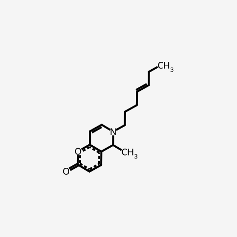 CCC=CCCCN1C=Cc2oc(=O)ccc2C1C